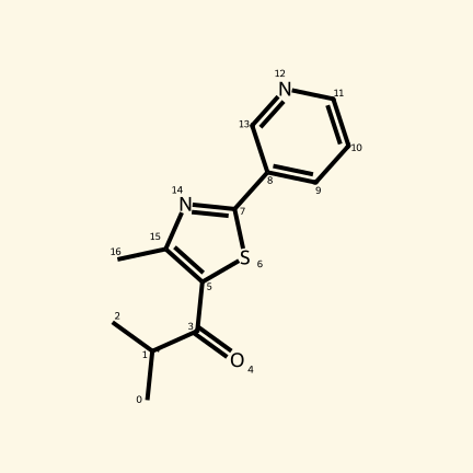 C[C](C)C(=O)c1sc(-c2cccnc2)nc1C